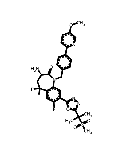 COc1ccc(-c2ccc(CN3C(=O)[C@H](N)CC(F)(F)c4cc(F)c(-c5nnc(C(C)(C)S(C)(=O)=O)o5)cc43)cc2)nc1